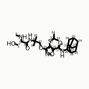 CN[C@@H](CO)C(=O)NC(C)(C)COc1noc(C(=O)NC2C3CC4CC(C3)CC2C4)c1SC(C)C